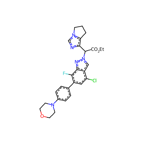 CCOC(=O)C(c1ncn2c1CCC2)n1cc2c(Cl)cc(-c3ccc(N4CCOCC4)cc3)c(F)c2n1